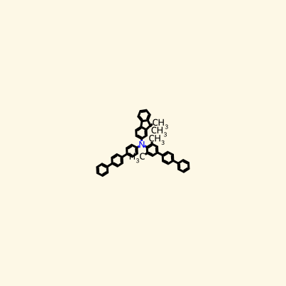 Cc1cc(-c2ccc(-c3ccccc3)cc2)cc(C)c1N(c1ccc(-c2ccc(-c3ccccc3)cc2)cc1)c1ccc2c(c1)C(C)(C)c1ccccc1-2